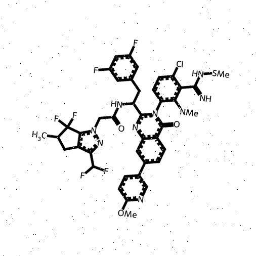 CNc1c(-n2c(C(Cc3cc(F)cc(F)c3)NC(=O)Cn3nc(C(F)F)c4c3C(F)(F)C(C)C4)nc3cc(-c4ccc(OC)nc4)ccc3c2=O)ccc(Cl)c1C(=N)NSC